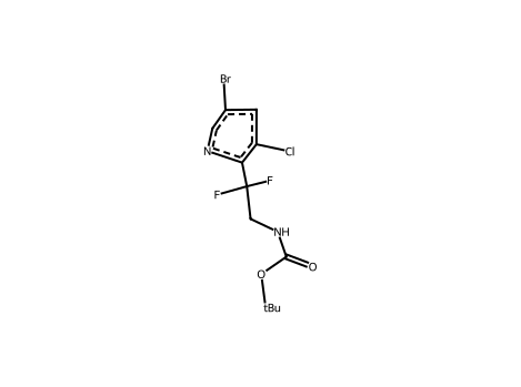 CC(C)(C)OC(=O)NCC(F)(F)c1ncc(Br)cc1Cl